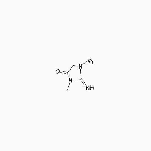 CC(C)N1CC(=O)N(C)C1=N